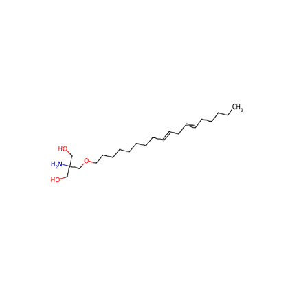 CCCCCC=CCC=CCCCCCCCCOCC(N)(CO)CO